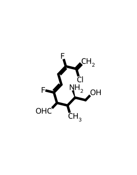 C=C(Cl)/C(F)=C\C=C(/F)C(C=O)C(C)[C@@H](N)CO